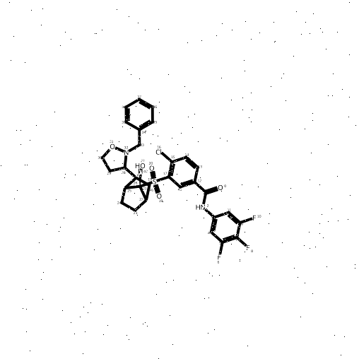 O=C(Nc1cc(F)c(F)c(F)c1)c1ccc(Cl)c(S(=O)(=O)[C@@H]2C3CCC2[C@@](O)(C2CCON2Cc2ccccc2)C3)c1